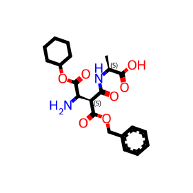 C[C@H](NC(=O)[C@@H](C(=O)OCc1ccccc1)C(N)C(=O)OC1CCCCC1)C(=O)O